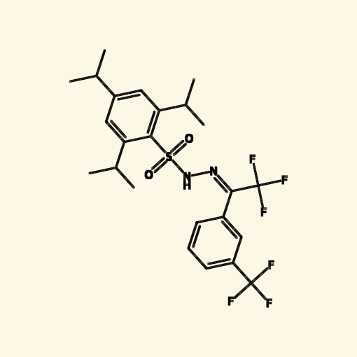 CC(C)c1cc(C(C)C)c(S(=O)(=O)N/N=C(\c2cccc(C(F)(F)F)c2)C(F)(F)F)c(C(C)C)c1